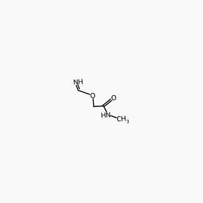 CNC(=O)COC=N